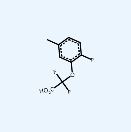 Cc1ccc(F)c(OC(F)(F)C(=O)O)c1